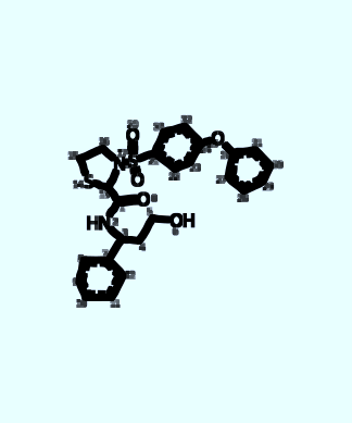 O=C(NC(CCO)c1ccccc1)C1SCCN1S(=O)(=O)c1ccc(Oc2ccccc2)cc1